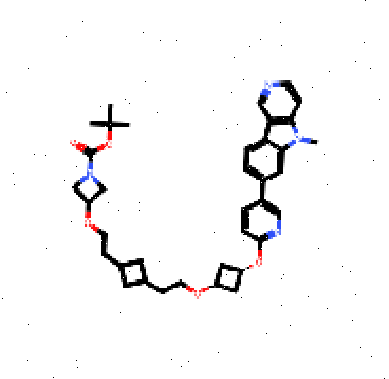 Cn1c2ccncc2c2ccc(-c3ccc(O[C@H]4C[C@H](OCCC5CC(CCOC6CN(C(=O)OC(C)(C)C)C6)C5)C4)nc3)cc21